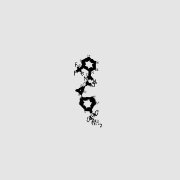 NS(=O)(=O)c1ccc([C@@H]2C[C@H]2c2nc(-c3ccccc3C(F)(F)F)no2)cc1